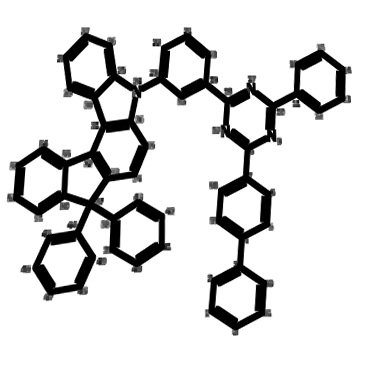 c1ccc(-c2ccc(-c3nc(-c4ccccc4)nc(-c4cccc(-n5c6ccccc6c6c7c(ccc65)C(c5ccccc5)(c5ccccc5)c5ccccc5-7)c4)n3)cc2)cc1